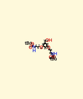 CC(C)(C)OC(=O)NCCCOc1cc(CO)cc(OCCCNC(=O)OC(C)(C)C)c1